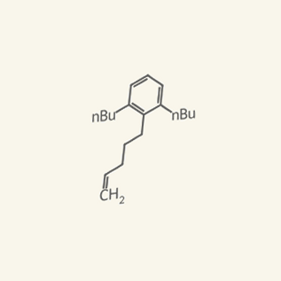 C=CCCCc1c(CCCC)cccc1CCCC